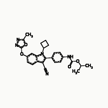 Cc1nnc(Oc2ccc3c(C#N)c(-c4ccc(NC(=O)OC(C)C)cc4)n(C4CCC4)c3c2)o1